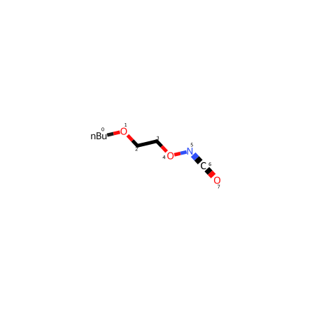 CCCCOCCON=C=O